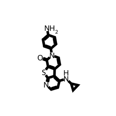 Nc1ccc(-n2ccc3c(sc4nccc(NC5CC5)c43)c2=O)cc1